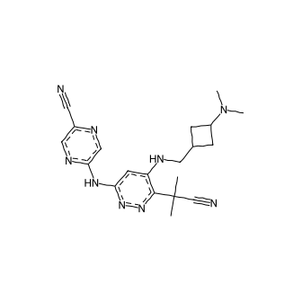 CN(C)C1CC(CNc2cc(Nc3cnc(C#N)cn3)nnc2C(C)(C)C#N)C1